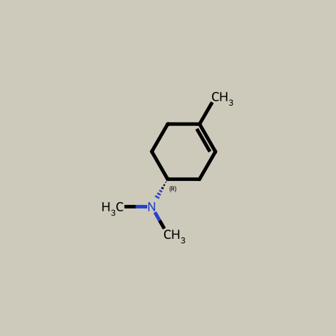 CC1=CC[C@H](N(C)C)CC1